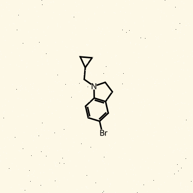 Brc1ccc2c(c1)CCN2CC1CC1